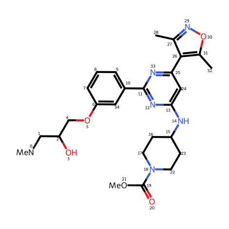 CNCC(O)COc1cccc(-c2nc(NC3CCN(C(=O)OC)CC3)cc(-c3c(C)noc3C)n2)c1